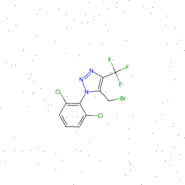 FC(F)(F)c1nnn(-c2c(Cl)cccc2Cl)c1CBr